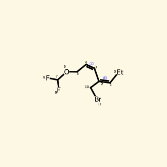 CC/C=C(\C=C/COC(F)F)CBr